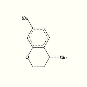 CC(C)(C)c1ccc2c(c1)OCCC2C(C)(C)C